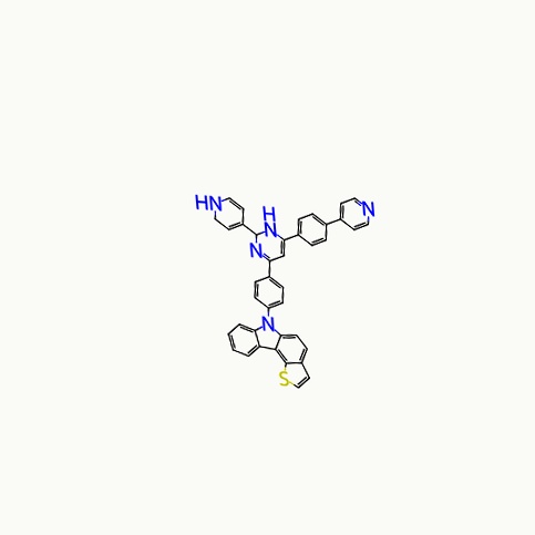 C1=CC(C2N=C(c3ccc(-n4c5ccccc5c5c6sccc6ccc54)cc3)C=C(c3ccc(-c4ccncc4)cc3)N2)=CCN1